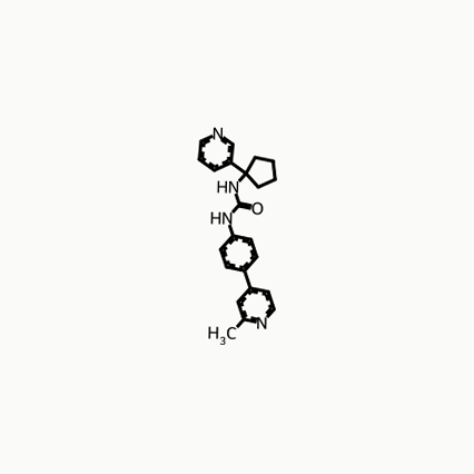 Cc1cc(-c2ccc(NC(=O)NC3(c4cccnc4)CCCC3)cc2)ccn1